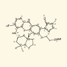 COCCOc1cc(F)c(Nc2ncc(F)c(N[C@@H]3C[C@@H]4CCCN4C(C)(C)C3)n2)cc1-n1nnn(C)c1=O